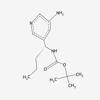 CCC[C@@H](NC(=O)OC(C)(C)C)c1cncc(N)c1